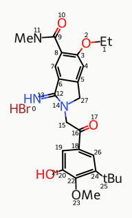 Br.CCOc1cc2c(cc1C(=O)NC)C(=N)N(CC(=O)c1cc(O)c(OC)c(C(C)(C)C)c1)C2